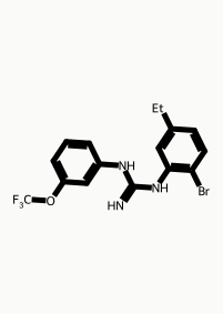 CCc1ccc(Br)c(NC(=N)Nc2cccc(OC(F)(F)F)c2)c1